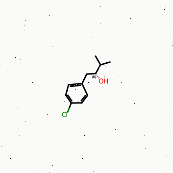 CC(C)[C@H](O)Cc1ccc(Cl)cc1